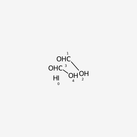 I.O=CO.O=CO